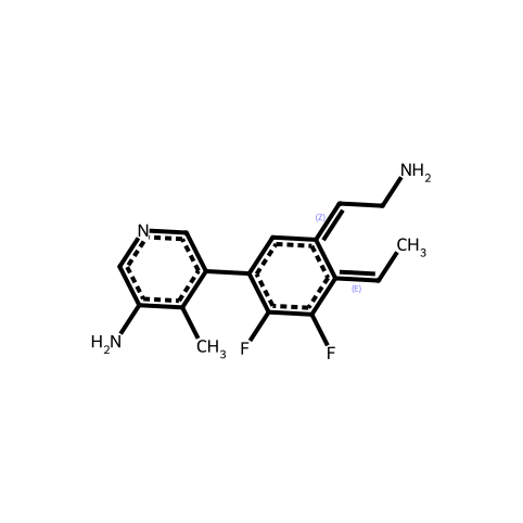 C/C=c1/c(F)c(F)c(-c2cncc(N)c2C)c/c1=C/CN